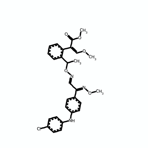 COC=C(C(=O)OC)c1ccccc1C(C)ON=CC(=NOC)c1ccc(Nc2ccc(Cl)cc2)cc1